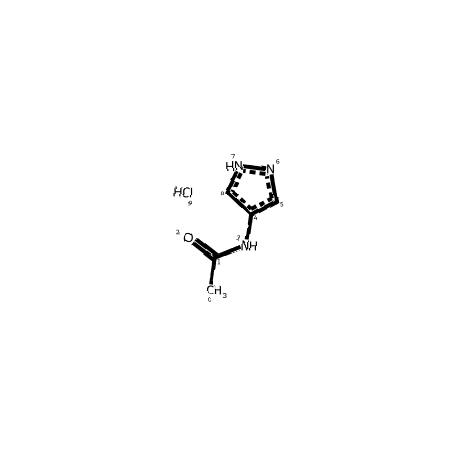 CC(=O)Nc1cn[nH]c1.Cl